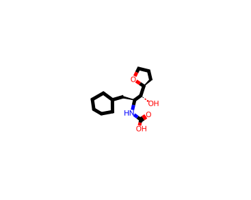 O=C(O)N[C@@H](CC1CCCCC1)[C@@H](O)[C@@H]1CCCO1